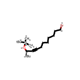 CCCC[C@H](C#CCCCCCCCBr)O[Si](C)(C)C(C)(C)C